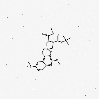 COC(=O)[C@@H]1C[C@]2(CCc3c(c(OC)nc4ccc(OC)cc34)O2)CN1C(=O)OC(C)(C)C